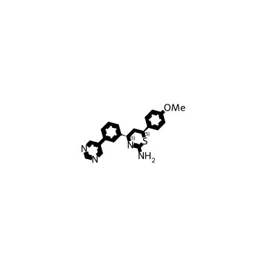 COc1ccc([C@@H]2C[C@@H](c3cccc(-c4cncnc4)c3)N=C(N)S2)cc1